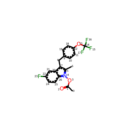 CC(=O)On1c(C)c(Cc2ccc(OC(F)(F)F)cc2)c2cc(F)ccc21